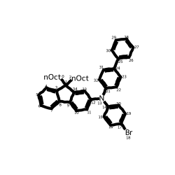 CCCCCCCCC1(CCCCCCCC)c2ccccc2-c2ccc(N(c3ccc(Br)cc3)c3ccc(-c4ccccc4)cc3)cc21